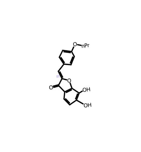 CCCOc1ccc(/C=C2\Oc3c(ccc(O)c3O)C2=O)cc1